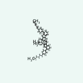 CCCCCCc1ccc(-c2cccc3c2C=C(CCC)C3C[SiH]([Zr])CC2C(CCC)=Cc3c(-c4ccc(CCCCCC)cc4)cccc32)cc1